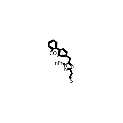 CCCn1nc(CC=S)nc1Cc1ccc(-c2ccccc2C(=O)O)cc1